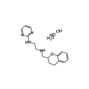 Cl.Cl.O.c1cnc(NCCNCC2CCc3ccccc3O2)nc1